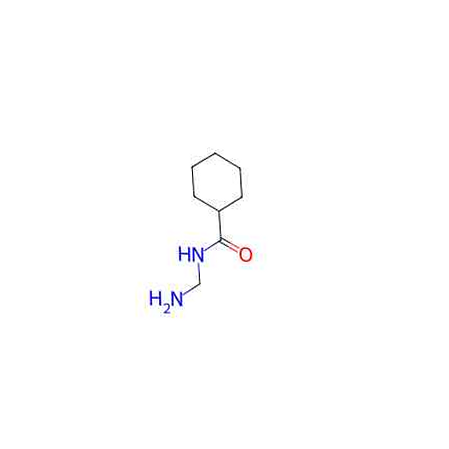 NCNC(=O)C1CCCCC1